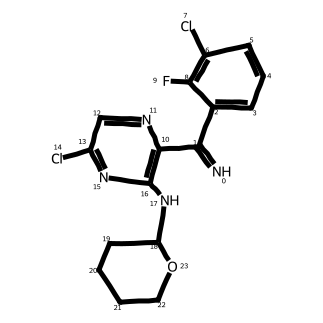 N=C(c1cccc(Cl)c1F)c1ncc(Cl)nc1NC1CCCCO1